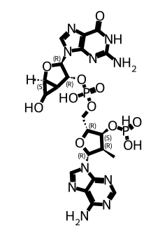 C[C@@H]1[C@H](O[PH](=O)O)[C@@H](COP(=O)(O)O[C@@H]2C3C(O)[C@H]3O[C@H]2n2cnc3c(=O)[nH]c(N)nc32)O[C@H]1n1cnc2c(N)ncnc21